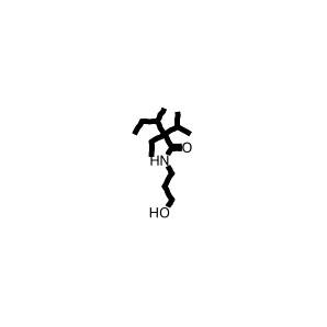 CCC(C)C(CC)(C(=O)NCCCO)C(C)C